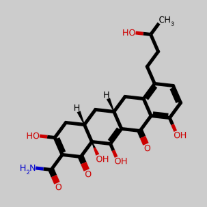 CC(O)CCc1ccc(O)c2c1C[C@H]1C[C@H]3CC(O)=C(C(N)=O)C(=O)[C@@]3(O)C(O)=C1C2=O